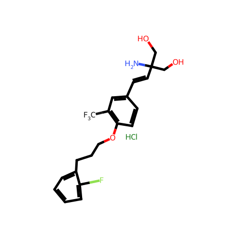 Cl.NC(C=Cc1ccc(OCCCc2ccccc2F)c(C(F)(F)F)c1)(CO)CO